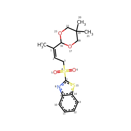 C/C(=C/CS(=O)(=O)c1nc2ccccc2s1)C1OCC(C)(C)CO1